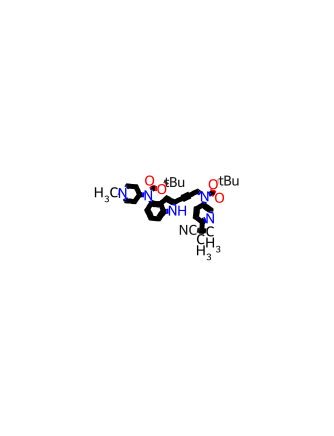 CN1CCC(N(C(=O)OC(C)(C)C)c2cccc3[nH]c(C#CCN(C(=O)OC(C)(C)C)c4ccc(C(C)(C)C#N)nc4)cc23)CC1